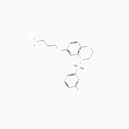 CN(C)CCCOc1ccc2c(c1)N(S(=O)(=O)c1cccc(Br)c1)CCS2